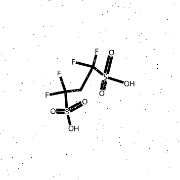 O=S(=O)(O)C(F)(F)CC(F)(F)S(=O)(=O)O